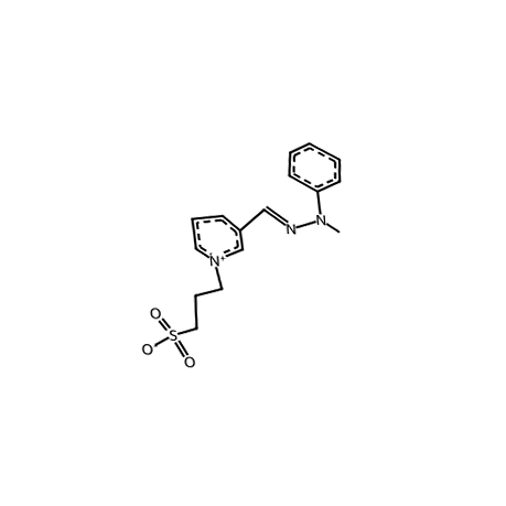 CN(N=Cc1ccc[n+](CCCS(=O)(=O)[O-])c1)c1ccccc1